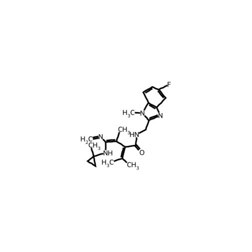 C=N/C(NC1(C)CC1)=C(\C)C(C(=O)NCc1nc2cc(F)ccc2n1C)=C(C)C